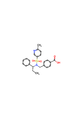 CCC(c1ccccc1)N(Cc1ccc(C(=O)O)cc1)S(=O)(=O)c1ccc(C)nc1